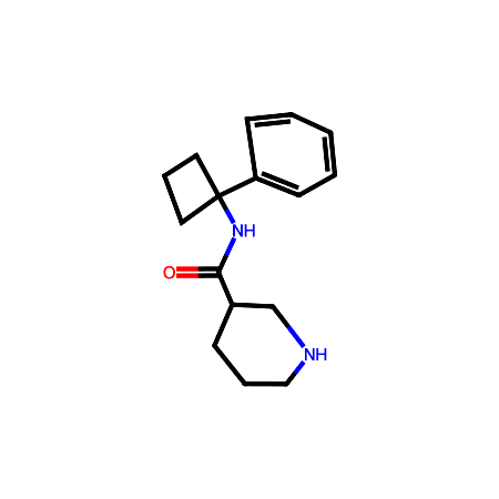 O=C(NC1(c2ccccc2)CCC1)C1CCCNC1